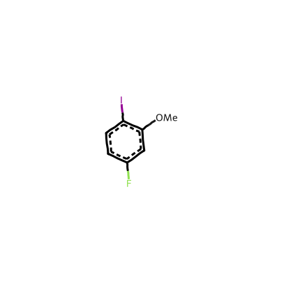 COc1cc(F)ccc1I